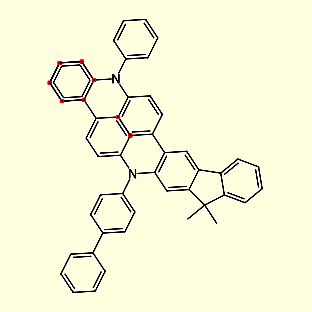 CC1(C)c2ccccc2-c2cc(-c3ccc(N(c4ccccc4)c4ccccc4)cc3)c(N(c3ccc(-c4ccccc4)cc3)c3ccc(-c4ccccc4)cc3)cc21